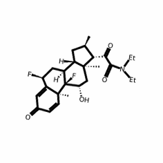 CCN(CC)C(=O)C(=O)[C@H]1[C@H](C)C[C@H]2[C@@H]3C[C@H](F)C4=CC(=O)C=C[C@]4(C)[C@@]3(F)[C@@H](O)C[C@@]21C